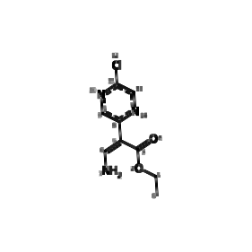 CCOC(=O)C(=CN)c1cnc(Cl)cn1